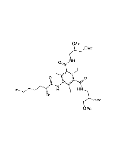 CC(=O)OCC(CNC(=O)c1c(I)c(NC(=O)C(Br)CCCCBr)c(I)c(C(=O)NCC(COC(C)=O)OC(C)=O)c1I)OC(C)=O